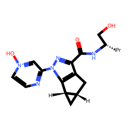 CC(C)[C@@H](CO)NC(=O)c1nn(-c2c[n+](O)ccn2)c2c1C[C@@H]1C[C@H]21